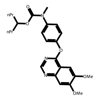 CCCC(CCC)OC(=O)N(C)c1ccc(Oc2ncnc3cc(OC)c(OC)cc23)cc1